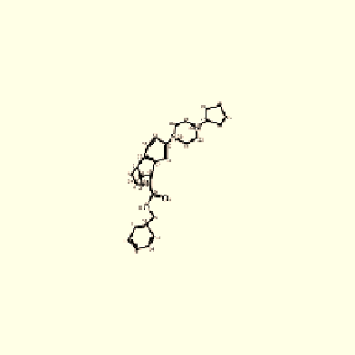 C[C@H]1C2CCN(C(=O)OCc3ccccc3)C1c1cc(N3CCN(C4CCCC4)CC3)ccc12